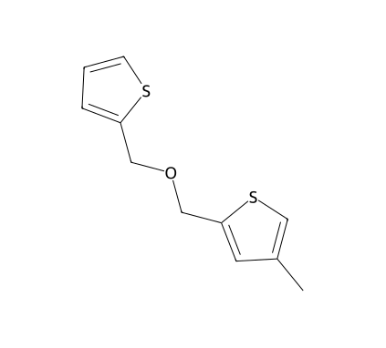 Cc1csc(COCc2cccs2)c1